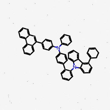 C1=CCCC(c2cccc3c2c2ccccc2n3-c2ccccc2-c2ccc(N(c3ccccc3)c3ccc(-c4cc5ccccc5c5ccccc45)cc3)cc2)=C1